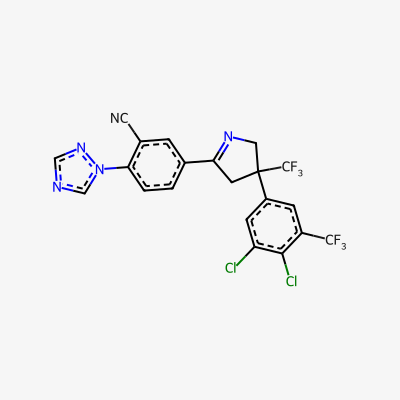 N#Cc1cc(C2=NCC(c3cc(Cl)c(Cl)c(C(F)(F)F)c3)(C(F)(F)F)C2)ccc1-n1cncn1